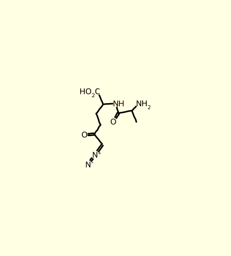 CC(N)C(=O)NC(CCC(=O)C=[N+]=[N-])C(=O)O